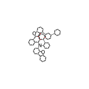 c1ccc(-c2cccc(-c3cccc4oc5c6ccccc6c(N(c6ccccc6-c6ccccc6)c6cccc7c6oc6ccccc67)cc5c34)c2)cc1